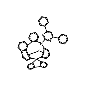 c1ccc(-c2cc(-c3ccccc3)nc(N3c4ccccc4-c4cccc5ccc6c(c45)Sc4c3cccc4C63c4ccccc4-c4ccccc43)n2)cc1